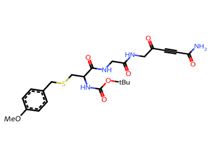 COc1ccc(CSCC(NC(=O)OC(C)(C)C)C(=O)NCC(=O)NCC(=O)C#CC(N)=O)cc1